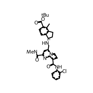 CNC(=O)c1cc(CN[C@H]2CCc3c2ccc(C(=O)OC(C)(C)C)c3C)n2ccc(C(=O)Nc3ccccc3Cl)c2n1